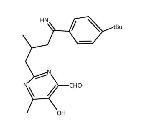 Cc1nc(CC(C)CC(=N)c2ccc(C(C)(C)C)cc2)nc([C]=O)c1O